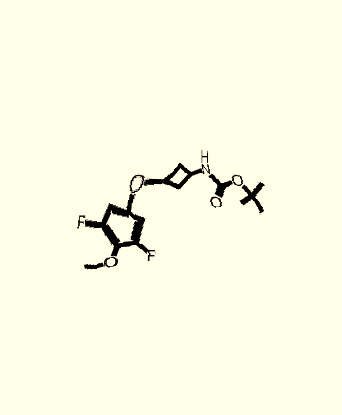 COc1c(F)cc(OC2CC(NC(=O)OC(C)(C)C)C2)cc1F